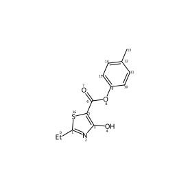 CCc1nc(O)c(C(=O)Oc2ccc(C)cc2)s1